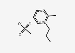 CCC[n+]1ccccc1C.CS(=O)(=O)[O-]